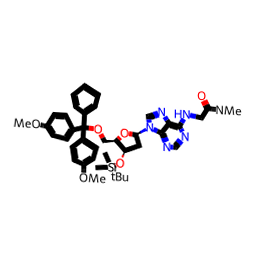 CNC(=O)CNc1ncnc2c1ncn2[C@H]1C[C@H](O[Si](C)(C)C(C)(C)C)[C@@H](COC(c2ccccc2)(c2ccc(OC)cc2)c2ccc(OC)cc2)O1